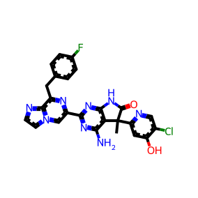 CC1(c2cc(O)c(Cl)cn2)C(=O)Nc2nc(-c3cn4ccnc4c(Cc4ccc(F)cc4)n3)nc(N)c21